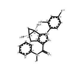 CN(C(=O)c1nn(-c2ccc(F)cc2F)c2c1C[C@H]1C[C@@H]21)c1ccccn1